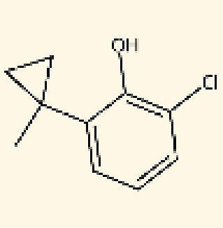 CC1(c2cccc(Cl)c2O)CC1